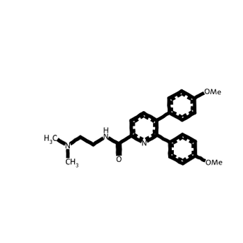 COc1ccc(-c2ccc(C(=O)NCCN(C)C)nc2-c2ccc(OC)cc2)cc1